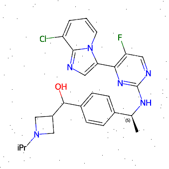 CC(C)N1CC(C(O)c2ccc([C@H](C)Nc3ncc(F)c(-c4cnc5c(Cl)cccn45)n3)cc2)C1